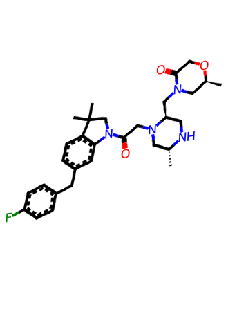 C[C@@H]1CN(CC(=O)N2CC(C)(C)c3ccc(Cc4ccc(F)cc4)cc32)[C@@H](CN2C[C@H](C)OCC2=O)CN1